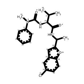 CC(NC(=O)[C@@H](NC(=O)N(C)c1ccccc1)C(C)C)c1cc2cc(Cl)ccc2o1